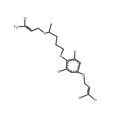 CC(CCCOc1c(Cl)cc(OCC=C(Cl)Cl)cc1Cl)OC/C=C(\Cl)C(F)(F)F